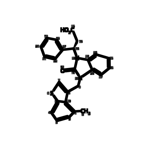 Cc1cccc2scc(Cn3c(=O)n([C@@H](CC(=O)O)c4ccccc4)c4ccccc43)c12